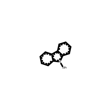 [CH2]CCn1c2ccccc2c2ccccc21